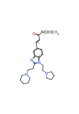 CN(O)C(=O)/C=C/c1ccc2c(c1)nc(CCN1CCCCC1)n2CCN1CCCC1